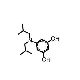 CC(C)CN(CC(C)C)c1cc(O)cc(O)c1